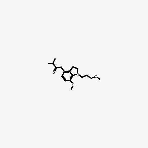 COCCCN1CCc2c(CC(=O)C(C)C)ccc(OC)c21